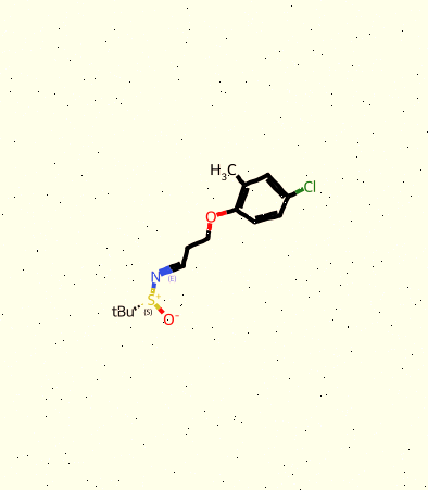 Cc1cc(Cl)ccc1OCC/C=N/[S@+]([O-])C(C)(C)C